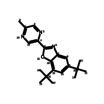 Cc1cnc(-c2nc3cc(C(C)(C)C)cc(C(C)(C)C)c3o2)cn1